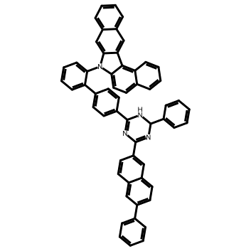 c1ccc(-c2ccc3cc(C4=NC(c5ccccc5)NC(c5ccc(-c6ccccc6-n6c7cc8ccccc8cc7c7c8ccccc8ccc76)cc5)=N4)ccc3c2)cc1